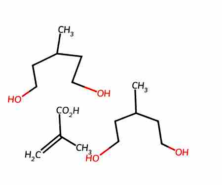 C=C(C)C(=O)O.CC(CCO)CCO.CC(CCO)CCO